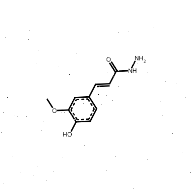 COc1cc(C=CC(=O)NN)ccc1O